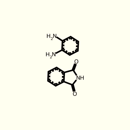 Nc1ccccc1N.O=C1NC(=O)c2ccccc21